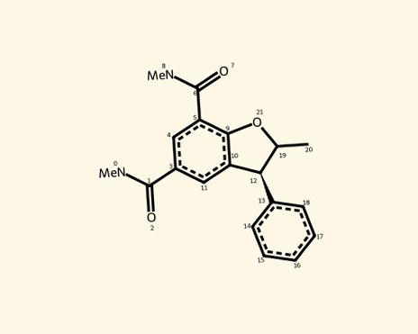 CNC(=O)c1cc(C(=O)NC)c2c(c1)[C@H](c1ccccc1)C(C)O2